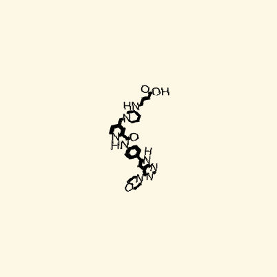 O=C(O)/C=C/CN[C@@H]1CCCN(Cc2ccnc(C(=O)Nc3ccc(-c4cc5c(N6CCOCC6)ncnc5[nH]4)cc3)c2)C1